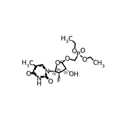 CCOP(=O)(CO[C@@H]1O[C@H](n2cc(C)c(=O)[nH]c2=O)[C@H](F)[C@H]1O)OCC